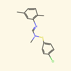 Cc1ccc(C)c(N=CN(C)Sc2ccc(Cl)cc2)c1